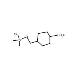 CC(C)(C)[Si](C)(C)OCC1CCC(C(=O)O)CC1